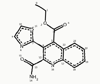 CCOC(=O)c1c(-c2nccs2)c(C(N)=O)nc2ccccc12